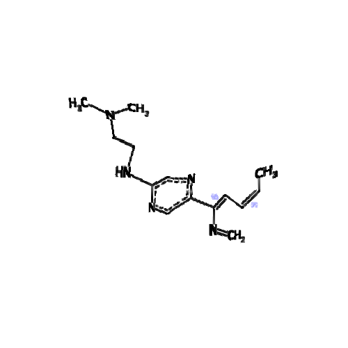 C=N/C(=C\C=C/C)c1cnc(NCCN(C)C)cn1